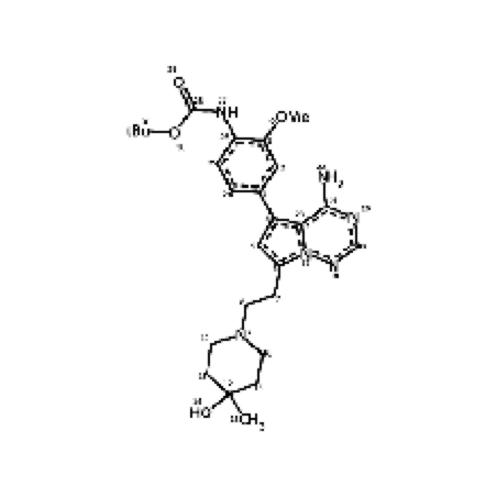 COc1cc(-c2cc(CCN3CCC(C)(O)CC3)n3ncnc(N)c23)ccc1NC(=O)OC(C)(C)C